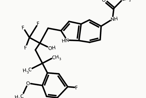 COc1ccc(F)cc1C(C)(C)CC(O)(Cc1cc2cc(NC(C)=O)ccc2[nH]1)C(F)(F)F